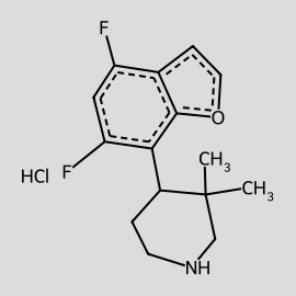 CC1(C)CNCCC1c1c(F)cc(F)c2ccoc12.Cl